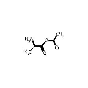 CC(Cl)OC(=O)[C@H](C)N